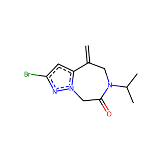 C=C1CN(C(C)C)C(=O)Cn2nc(Br)cc21